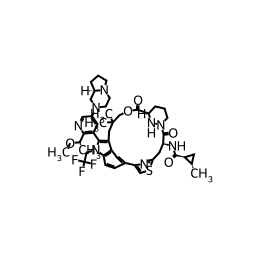 CO[C@@H](C)c1ncc(N2CCN3CCC[C@@H]3C2)cc1-c1c2c3cc(ccc3n1CC(F)(F)F)-c1csc(n1)C[C@H](NC(=O)[C@H]1C[C@@H]1C)C(=O)N1CCC[C@H](N1)C(=O)OCC(C)(C)C2